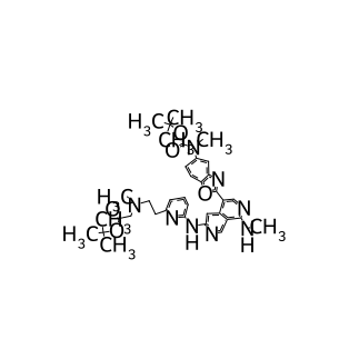 CNc1ncc(-c2nc3cc(N(C)C(=O)OC(C)(C)C)ccc3o2)c2cc(Nc3cccc(CCN(C)CC(=O)OC(C)(C)C)n3)ncc12